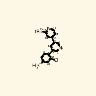 Cc1ccc(-c2cncc(-c3ccnc(C(C)(C)C)c3)c2)c(Cl)c1